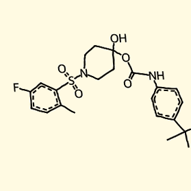 Cc1ccc(F)cc1S(=O)(=O)N1CCC(O)(OC(=O)Nc2ccc(C(C)(C)C)cc2)CC1